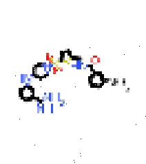 N=C(N)c1cccc(NC2CCN(S(=O)(=O)c3ccc(CNC(=O)c4cccc([N+](=O)[O-])c4)s3)CC2)c1